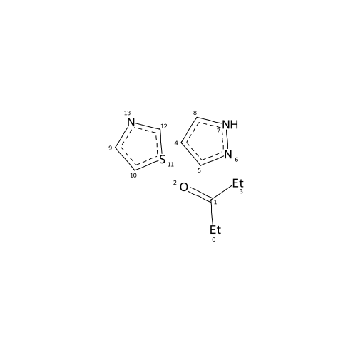 CCC(=O)CC.c1cn[nH]c1.c1cscn1